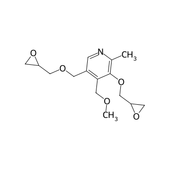 COCc1c(COCC2CO2)cnc(C)c1OCC1CO1